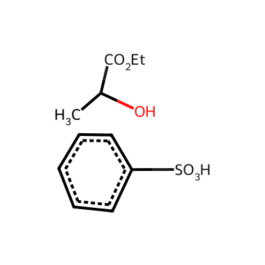 CCOC(=O)C(C)O.O=S(=O)(O)c1ccccc1